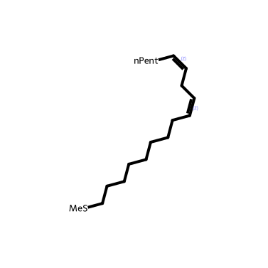 CCCCC/C=C\C/C=C\CCCCCCCCSC